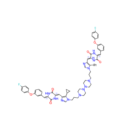 CC(C)c1c(/C=c2\[nH]c(=O)/c(=C/c3cccc(Oc4ccc(F)cc4)c3)[nH]c2=O)ncn1CCCN1CCN(N2CCN(CCCn3cnc(/C=c4\[nH]c(=O)/c(=C/c5cccc(Oc6ccc(F)cc6)c5)[nH]c4=O)c3C3CC3)CC2)CC1